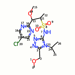 COCc1nnc(NS(=O)(=O)C(C)C(OC)c2ncc(Cl)cn2)n1C(C)C